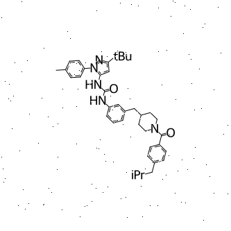 Cc1ccc(-n2nc(C(C)(C)C)cc2NC(=O)Nc2cccc(CC3CCN(C(=O)c4ccc(CC(C)C)cc4)CC3)c2)cc1